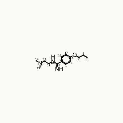 CCCOc1ccc(C(=N)NCCN(C)C)cc1